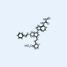 CCNC(=O)Nc1ncnc2c1ncn2C1CC(CCC2CCCC2C(=O)O)C2O[C@H](/C=C/c3ccccc3)OC21